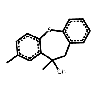 Cc1ccc2c(c1)C(C)(O)Cc1ccccc1S2